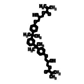 C=C(C)C(=O)OCC(O)COc1ccc(C(C)(C)c2cccc(C(C)(C)c3ccc(OCC(O)COC(=O)C(=C)C)cc3)c2)cc1